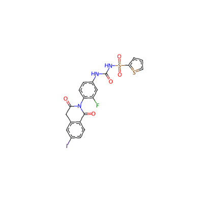 O=C(Nc1ccc(N2C(=O)Cc3cc(I)ccc3C2=O)c(F)c1)NS(=O)(=O)c1cccs1